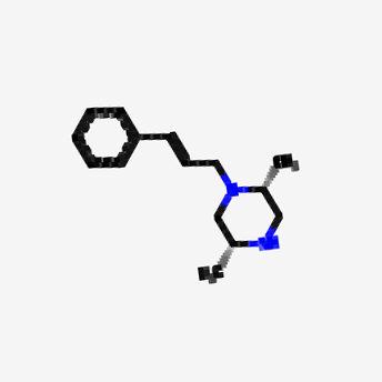 C[C@@H]1CN(C/C=C/c2ccccc2)[C@H](C)CN1